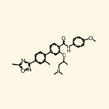 COc1ccc(NC(=O)c2ccc(-c3ccc(-c4noc(C)n4)cc3C)cc2OC(C)CN(C)C)cc1